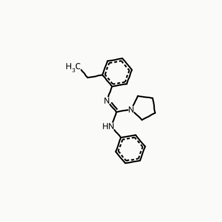 CCc1ccccc1N=C(Nc1ccccc1)N1CCCC1